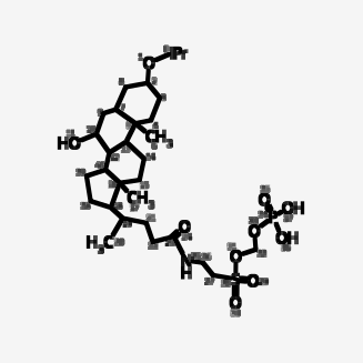 CC(C)OC1CCC2(C)C(C1)CC(O)C1C2CCC2(C)C(C(C)CCC(=O)NCCS(=O)(=O)OCOP(=O)(O)O)CCC12